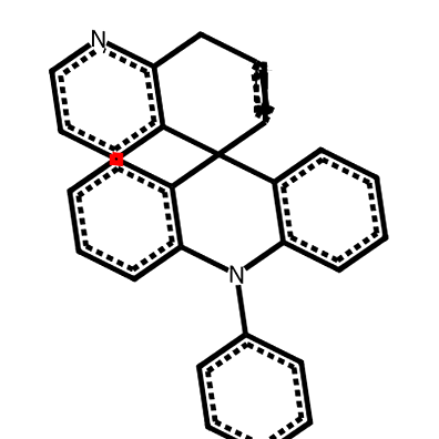 c1ccc(N2c3ccccc3C3(c4ccccc42)c2cccnc2Cc2ncccc23)cc1